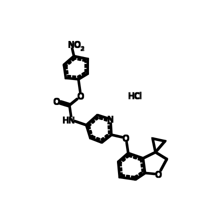 Cl.O=C(Nc1ccc(Oc2cccc3c2C2(CC2)CO3)nc1)Oc1ccc([N+](=O)[O-])cc1